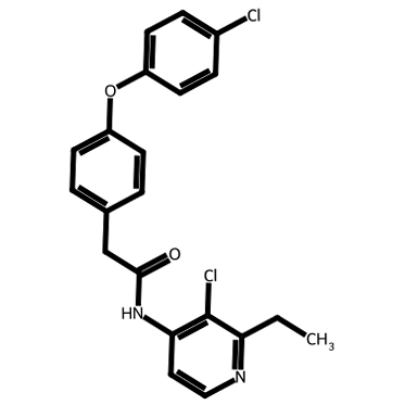 CCc1nccc(NC(=O)Cc2ccc(Oc3ccc(Cl)cc3)cc2)c1Cl